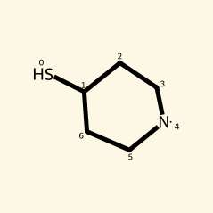 SC1CC[N]CC1